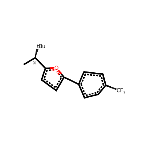 C[C@H](c1ccc(-c2ccc(C(F)(F)F)cc2)o1)C(C)(C)C